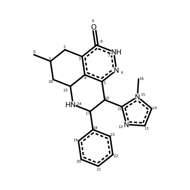 CC1Cc2c3c(n[nH]c2=O)C(c2nccn2C)C(c2ccccc2)NC3C1